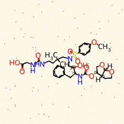 COc1ccc(S(=O)(=O)N(C[C@@H](O)[C@H](Cc2ccccc2)NC(=O)O[C@@H]2CO[C@@H]3OCC[C@@H]32)CC(C)(C)CCNC(=O)NCC(=O)O)cc1